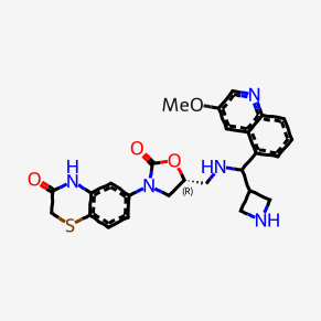 COc1cnc2cccc(C(NC[C@@H]3CN(c4ccc5c(c4)NC(=O)CS5)C(=O)O3)C3CNC3)c2c1